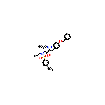 CC(C)CN(C[C@H](O)[C@H](Cc1ccc(OCc2ccccc2)cc1)NC(=O)O)S(=O)(=O)c1ccc([N+](=O)[O-])cc1